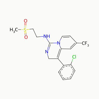 CS(=O)(=O)CCNC1=NCC(c2ccccc2Cl)=C2C=C(C(F)(F)F)C=CN12